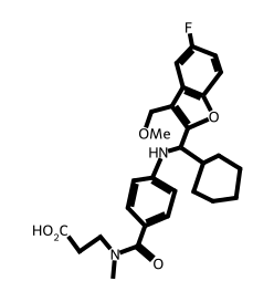 COCc1c(C(Nc2ccc(C(=O)N(C)CCC(=O)O)cc2)C2CCCCC2)oc2ccc(F)cc12